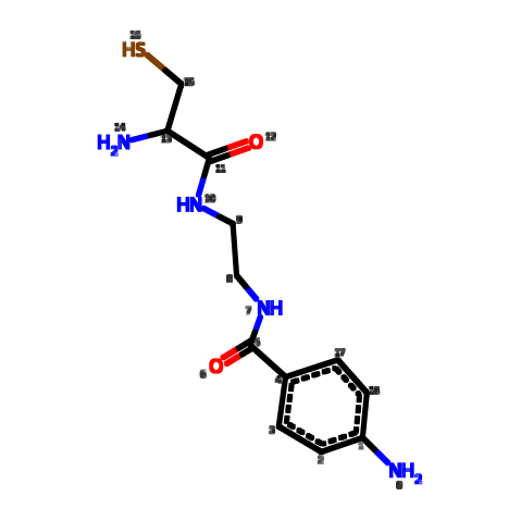 Nc1ccc(C(=O)NCCNC(=O)C(N)CS)cc1